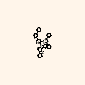 c1ccc(-c2cccc(-c3cnc(-n4c5ccccc5c5c6oc7ccccc7c6ccc54)c(-c4nc(-c5ccccc5)nc(-c5ccccc5)n4)c3)c2)cc1